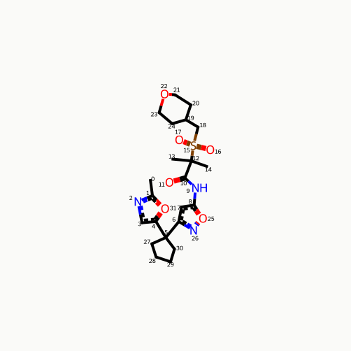 Cc1ncc(C2(c3cc(NC(=O)C(C)(C)S(=O)(=O)CC4CCOCC4)on3)CCCC2)o1